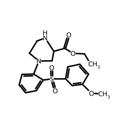 CCOC(=O)C1CN(c2ccccc2S(=O)(=O)c2cccc(OC)c2)CCN1